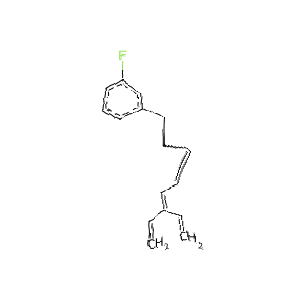 C=CC(C=C)=C/C=C\CCc1cccc(F)c1